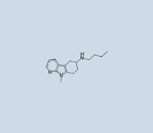 CCCCNC1CCc2c(c3cccnc3n2C)C1